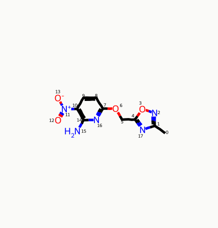 Cc1noc(COc2ccc([N+](=O)[O-])c(N)n2)n1